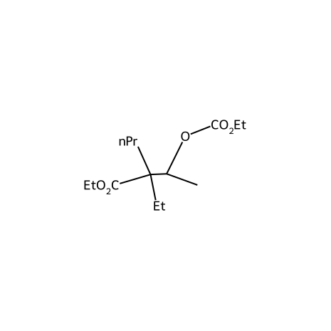 CCCC(CC)(C(=O)OCC)C(C)OC(=O)OCC